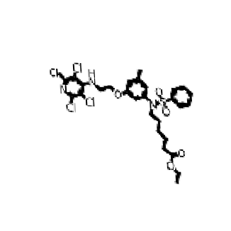 CCOC(=O)CCCCCN(c1cc(C)cc(OCCNc2c(Cl)c(Cl)nc(Cl)c2Cl)c1)S(=O)(=O)c1ccccc1